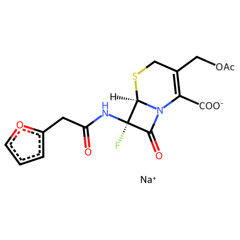 CC(=O)OCC1=C(C(=O)[O-])N2C(=O)[C@@](F)(NC(=O)Cc3ccco3)[C@H]2SC1.[Na+]